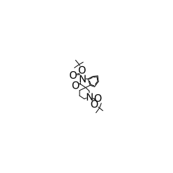 CC(C)(C)OC(=O)N1CCCC2(C1)C(=O)N(C(=O)OC(C)(C)C)c1ccccc12